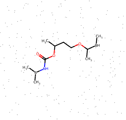 CBC(C)OCCC(C)OC(=O)NB(C)C